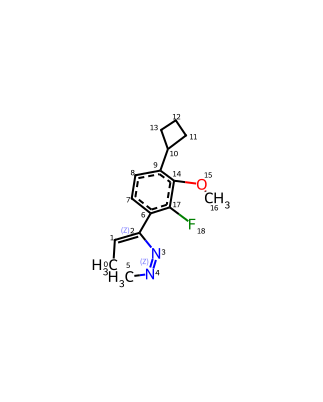 C/C=C(\N=N/C)c1ccc(C2CCC2)c(OC)c1F